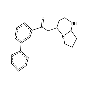 O=C(CC1CCNC2CCCN12)c1cccc(-c2ccccc2)c1